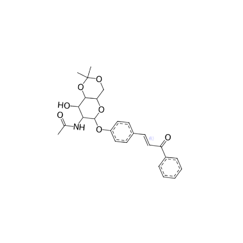 CC(=O)NC1C(Oc2ccc(/C=C/C(=O)c3ccccc3)cc2)OC2COC(C)(C)OC2C1O